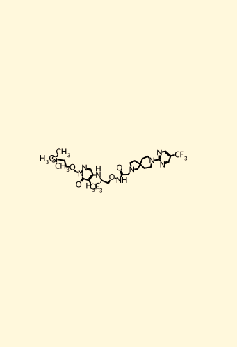 C[C@@H](CONC(=O)CN1CCC2(CCN(c3ncc(C(F)(F)F)cn3)CC2)C1)Nc1cnn(COCC[Si](C)(C)C)c(=O)c1C(F)(F)F